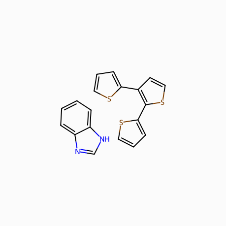 c1ccc2[nH]cnc2c1.c1csc(-c2ccsc2-c2cccs2)c1